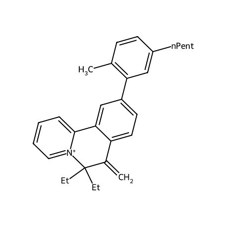 C=C1c2ccc(-c3cc(CCCCC)ccc3C)cc2-c2cccc[n+]2C1(CC)CC